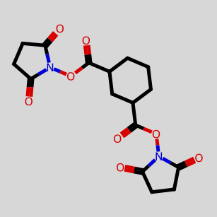 O=C(ON1C(=O)CCC1=O)C1CCCC(C(=O)ON2C(=O)CCC2=O)C1